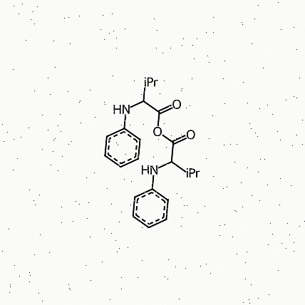 CC(C)C(Nc1ccccc1)C(=O)OC(=O)C(Nc1ccccc1)C(C)C